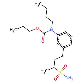 CCCCN(C(=O)OCCC)c1cccc(CCC(C)S(N)(=O)=O)c1